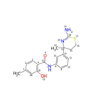 Cc1ccc(C(=O)Nc2cccc(C3(C)CCSC(N)=N3)c2)c(O)c1